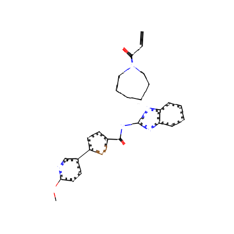 C=CC(=O)N1CCC[C@@H](n2c(NC(=O)c3ccc(-c4ccc(OC)nc4)s3)nc3ccccc32)CC1